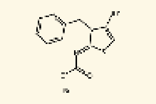 CCC(C)OC(=O)/N=c1\scc(C(C)C)n1Cc1ccccc1